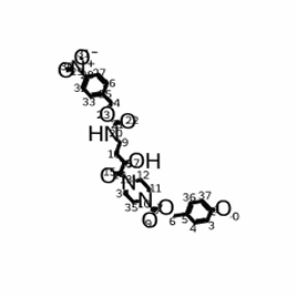 COc1ccc(COC(=O)N2CCN(C(=O)C(O)CCNC(=O)OCc3ccc([N+](=O)[O-])cc3)CC2)cc1